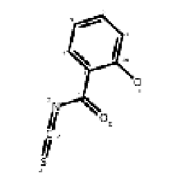 O=C(N=C=S)c1ccccc1Cl